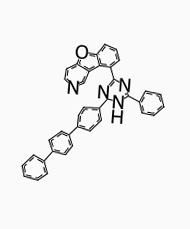 c1ccc(C2=NC(c3cccc4oc5ccncc5c34)=NC(c3ccc(-c4ccc(-c5ccccc5)cc4)cc3)N2)cc1